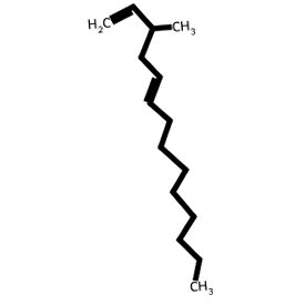 C=CC(C)CC=CCCCCCCCC